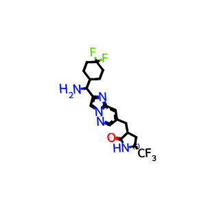 NC(c1cn2ncc(CC3C[C@@H](C(F)(F)F)NC3=O)cc2n1)C1CCC(F)(F)CC1